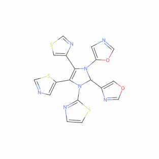 c1csc(N2[C](c3cocn3)N(c3cnco3)C(c3cscn3)=C2c2cncs2)n1